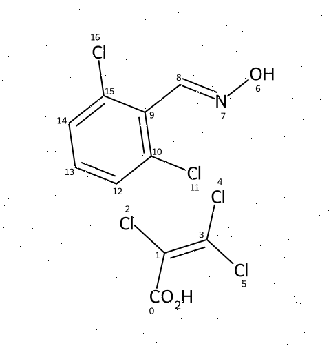 O=C(O)C(Cl)=C(Cl)Cl.ON=Cc1c(Cl)cccc1Cl